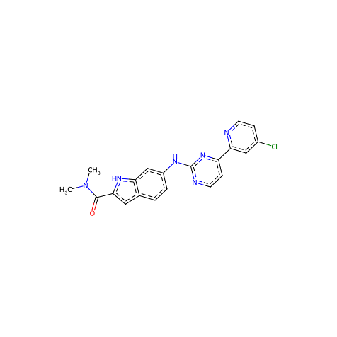 CN(C)C(=O)c1cc2ccc(Nc3nccc(-c4cc(Cl)ccn4)n3)cc2[nH]1